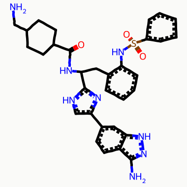 NCC1CCC(C(=O)NC(Cc2ccccc2NS(=O)(=O)c2ccccc2)c2nc(-c3ccc4c(N)n[nH]c4c3)c[nH]2)CC1